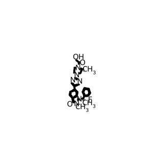 C[C@@H]1CN(c2ncc(-c3ccc4c(=O)n(C)n([C@@H](C)c5ccccc5F)c4c3)cn2)CCN1C(=O)CO